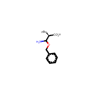 CCCC[C@@H](C(=O)O)C(N)OCc1ccccc1